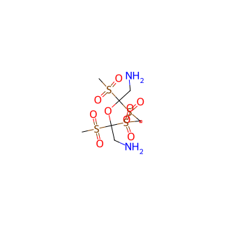 CS(=O)(=O)C(CN)(OC(CN)(S(C)(=O)=O)S(C)(=O)=O)S(C)(=O)=O